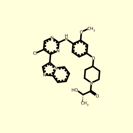 COc1cc(OC2CCN(C(=O)[C@H](C)O)CC2)ccc1Nc1ncc(Cl)c(-c2cnc3ccccn23)n1